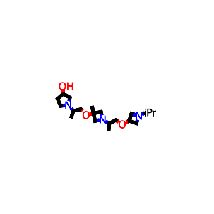 CC(C)N1CC(OCC(C)N2CC(C)(OCC(C)N3CCC(O)C3)C2)C1